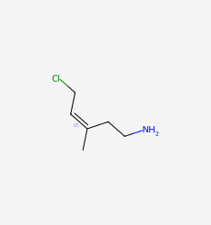 C/C(=C/CCl)CCN